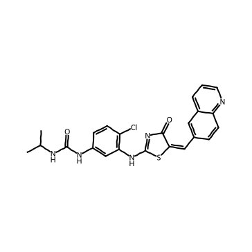 CC(C)NC(=O)Nc1ccc(Cl)c(NC2=NC(=O)C(=Cc3ccc4ncccc4c3)S2)c1